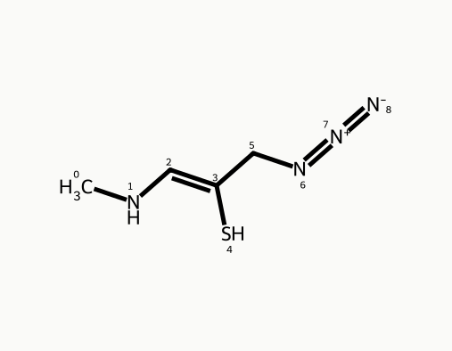 CN/C=C(\S)CN=[N+]=[N-]